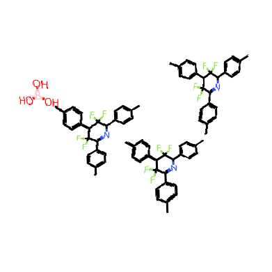 Cc1ccc(C2=NC(c3ccc(C)cc3)C(F)(F)C(c3ccc(C)cc3)C2(F)F)cc1.Cc1ccc(C2=NC(c3ccc(C)cc3)C(F)(F)C(c3ccc(C)cc3)C2(F)F)cc1.Cc1ccc(C2=NC(c3ccc(C)cc3)C(F)(F)C(c3ccc(C)cc3)C2(F)F)cc1.OB(O)O